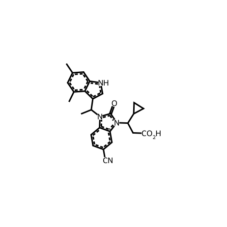 Cc1cc(C)c2c(C(C)n3c(=O)n(C(CC(=O)O)C4CC4)c4cc(C#N)ccc43)c[nH]c2c1